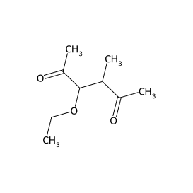 CCOC(C(C)=O)C(C)C(C)=O